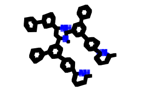 CC1=CC=CC(c2ccc(-c3cc(-c4ccccc4)cc(C4NC(c5cccc(-c6ccccc6)c5)=CC(c5cc(-c6ccccc6)cc(-c6ccc(C7=CC=CC(C)N7)cc6)c5)N4C)c3)cc2)N1